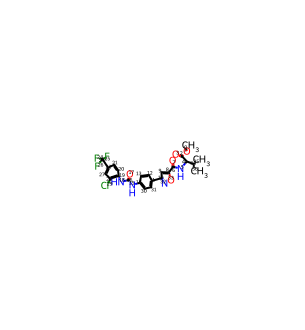 COC(=O)C(NC(=O)c1cc(-c2ccc(NC(=O)Nc3ccc(C(F)(F)F)cc3Cl)cc2)no1)C(C)C